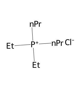 CCC[P+](CC)(CC)CCC.[Cl-]